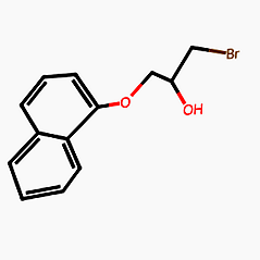 OC(CBr)COc1cccc2ccccc12